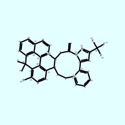 C=C1CC2C(CC[n+]3ccccc3-c3cc(C(F)(F)F)nn31)c1ccc(F)c3c1-c1c4c(cccc4cc[n+]12)C3(C)C